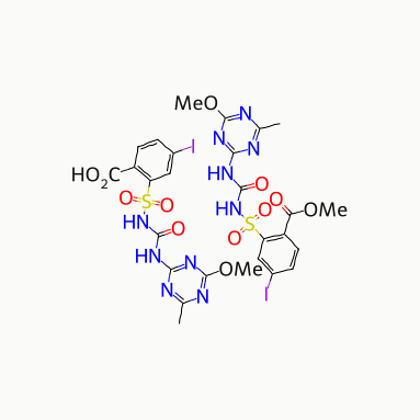 COC(=O)c1ccc(I)cc1S(=O)(=O)NC(=O)Nc1nc(C)nc(OC)n1.COc1nc(C)nc(NC(=O)NS(=O)(=O)c2cc(I)ccc2C(=O)O)n1